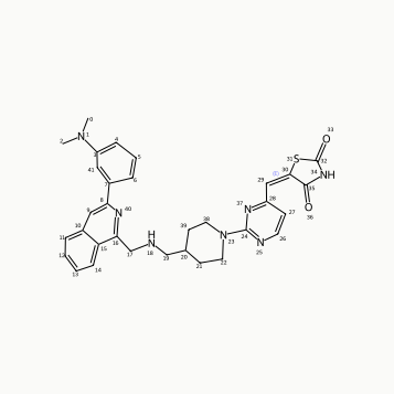 CN(C)c1cccc(-c2cc3ccccc3c(CNCC3CCN(c4nccc(/C=C5/SC(=O)NC5=O)n4)CC3)n2)c1